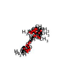 CCn1nc(C)cc1C(=O)N=c1n(C)c2cc(C(N)=O)ccc2n1CCC(CCn1c(=NC(=O)c2cc(C)nn2CC)n(C)c2cc(C(N)=O)ccc21)OCC(=O)NCCOCCOCCOCCOc1cccc(C(=O)c2csc([C@@H]3CCCN3C(=O)[C@@H](NC(=O)[C@H](C)NC)C3CCCCC3)n2)c1